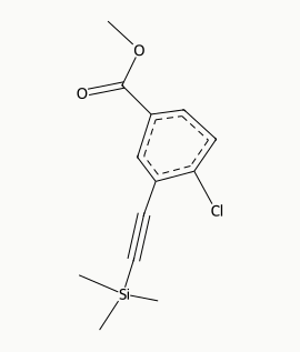 COC(=O)c1ccc(Cl)c(C#C[Si](C)(C)C)c1